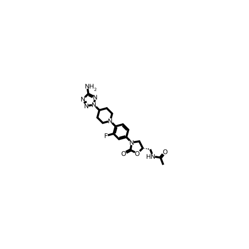 CC(=O)NC[C@H]1CN(c2ccc(N3CCC(n4nnc(N)n4)CC3)c(F)c2)C(=O)O1